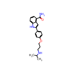 CC(C)NCCCOc1ccc(-c2cc3c(C(N)=O)cccc3[nH]2)cc1